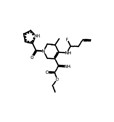 C=CCC(F)NC1=C(C(=N)C(=O)OCC)CN(C(=O)c2ccc[nH]2)CC1C